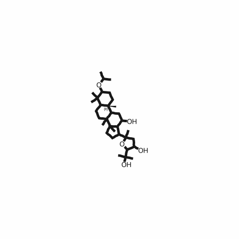 CC(C)OC1CC[C@@]2(C)C(CCC3(C)C2CC(O)C2C(C4(C)CC(O)C(C(C)(C)O)O4)CCC23C)C1(C)C